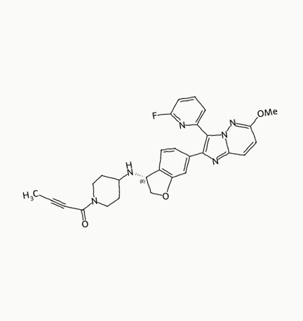 CC#CC(=O)N1CCC(N[C@H]2COc3cc(-c4nc5ccc(OC)nn5c4-c4cccc(F)n4)ccc32)CC1